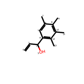 C=CC(O)c1cc(C)c(C)c(C)c1C